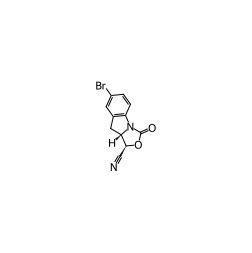 N#C[C@@H]1OC(=O)N2c3ccc(Br)cc3C[C@@H]12